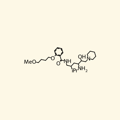 COCCCCOc1ccccc1C(=O)NCC(CC(N)C(O)CN1CCCCC1)C(C)C